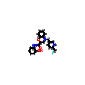 O=C(N[C@H]1CCCC[C@@H]1O)C1CN(Cc2ccc(CF)nc2)c2ccccc2O1